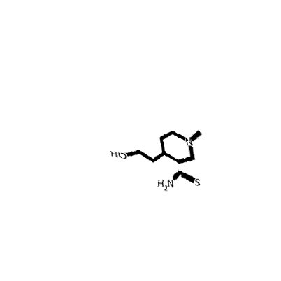 CN1CCC(CCO)CC1.NC=S